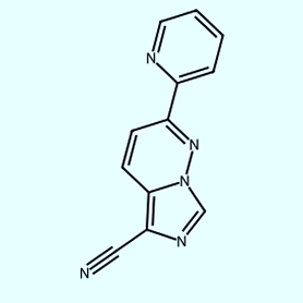 N#Cc1ncn2nc(-c3ccccn3)ccc12